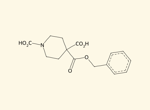 O=C(O)N1CCC(C(=O)O)(C(=O)OCc2ccccc2)CC1